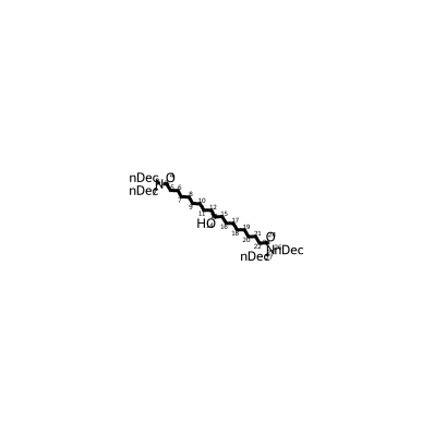 CCCCCCCCCCN(CCCCCCCCCC)C(=O)CCCCCCCCC(O)CCCCCCCCC(=O)N(CCCCCCCCCC)CCCCCCCCCC